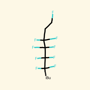 CCC(C)C(F)(F)C(F)(F)C(F)(F)C(F)(F)CCF